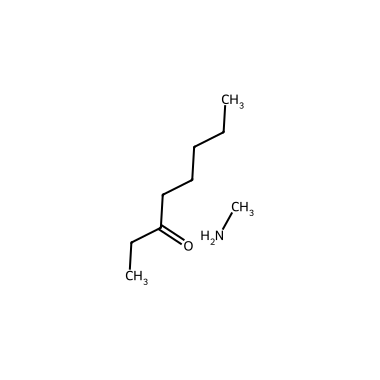 CCCCCC(=O)CC.CN